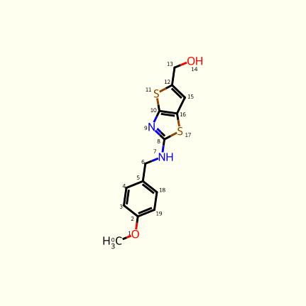 COc1ccc(CNc2nc3sc(CO)cc3s2)cc1